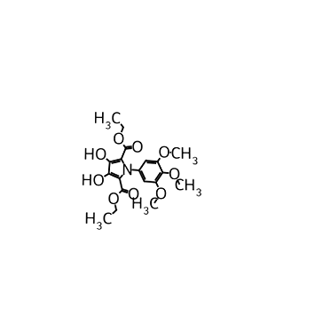 CCOC(=O)c1c(O)c(O)c(C(=O)OCC)n1-c1cc(OC)c(OC)c(OC)c1